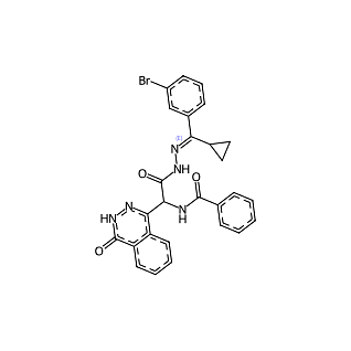 O=C(NC(C(=O)N/N=C(/c1cccc(Br)c1)C1CC1)c1n[nH]c(=O)c2ccccc12)c1ccccc1